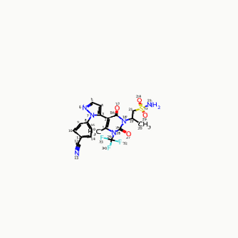 Cc1c(-c2ccnn2-c2ccc(C#N)cc2)c(=O)n(C(C)CS(N)(=O)=O)c(=O)n1C(F)(F)F